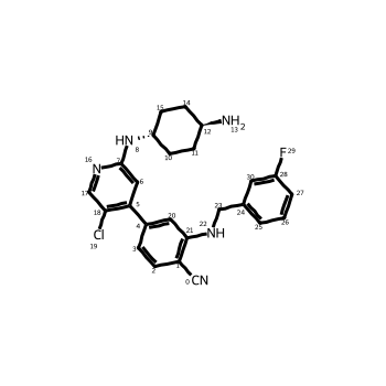 N#Cc1ccc(-c2cc(N[C@H]3CC[C@H](N)CC3)ncc2Cl)cc1NCc1cccc(F)c1